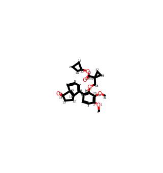 COc1ccc(-c2cccc3c2CCC3=O)c(OCC2(C(=O)OC3CCC3)CC2)c1OC